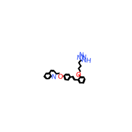 C(=Cc1ccccc1OCCCCc1nnn[nH]1)c1ccc(OCc2ccc3ccccc3n2)cc1